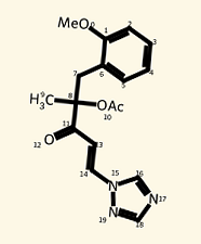 COc1ccccc1CC(C)(OC(C)=O)C(=O)C=Cn1cncn1